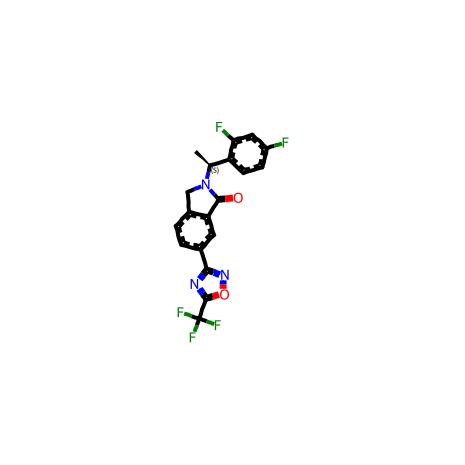 C[C@@H](c1ccc(F)cc1F)N1Cc2ccc(-c3noc(C(F)(F)F)n3)cc2C1=O